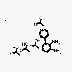 CC(=O)O.CC(=O)O.CC(=O)O.CC(=O)O.Nc1cccc(-c2ccccc2)c1N